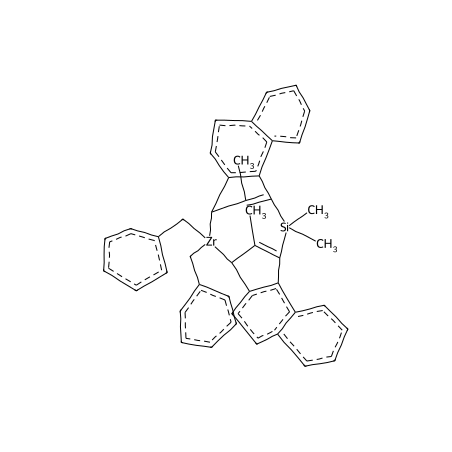 CC1=C2c3c(ccc4ccccc34)[CH]1[Zr]([CH2]c1ccccc1)([CH2]c1ccccc1)[CH]1C(C)=C(c3c1ccc1ccccc31)[Si]2(C)C